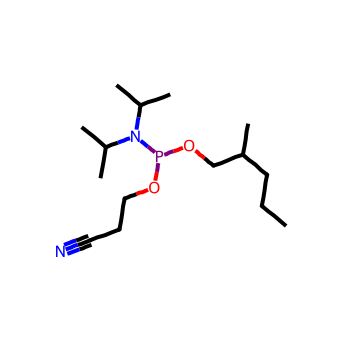 CCCC(C)COP(OCCC#N)N(C(C)C)C(C)C